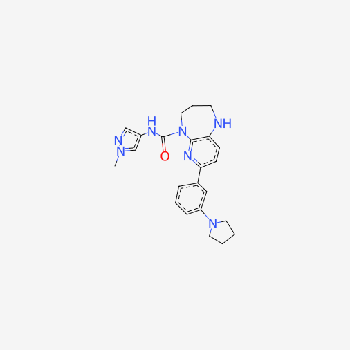 Cn1cc(NC(=O)N2CCCNc3ccc(-c4cccc(N5CCCC5)c4)nc32)cn1